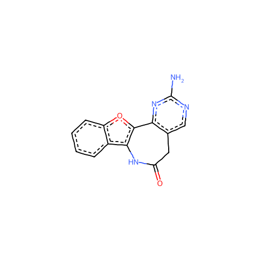 Nc1ncc2c(n1)-c1oc3ccccc3c1NC(=O)C2